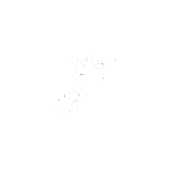 c1ccc(-c2nc(-c3ccccc3)nc(-c3cccc(-n4c5ccccc5c5cc(-c6ccc7c(c6)c6ccccc6n7-c6ccc7c(c6)C(c6ccccc6)(c6ccccc6)c6ccccc6-7)ccc54)c3)n2)cc1